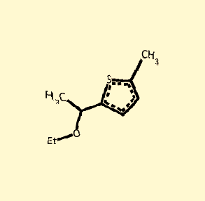 CCOC(C)c1ccc(C)s1